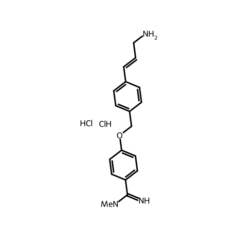 CNC(=N)c1ccc(OCc2ccc(C=CCN)cc2)cc1.Cl.Cl